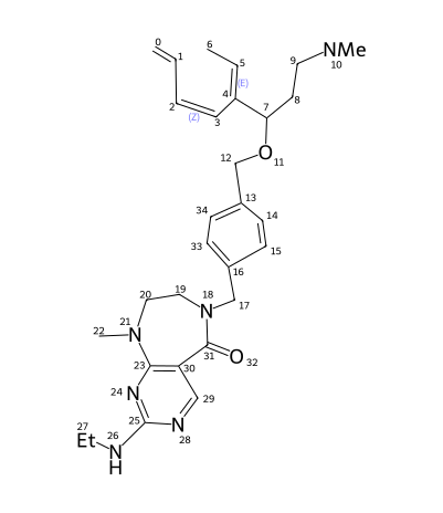 C=C/C=C\C(=C/C)C(CCNC)OCc1ccc(CN2CCN(C)c3nc(NCC)ncc3C2=O)cc1